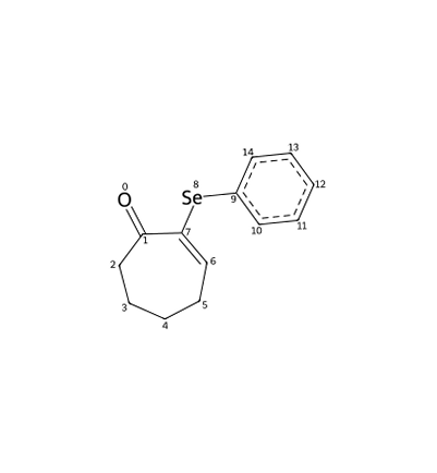 O=C1CCCCC=C1[Se]c1ccccc1